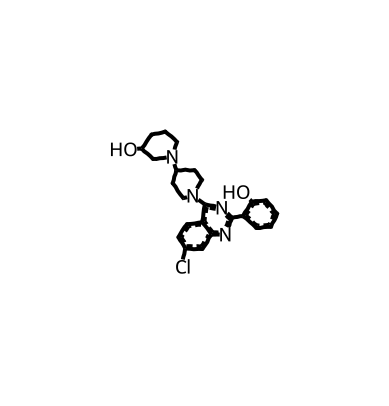 Oc1ccccc1-c1nc(N2CCC(N3CCCC(O)C3)CC2)c2ccc(Cl)cc2n1